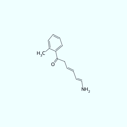 Cc1ccccc1C(=O)CC=CC=CN